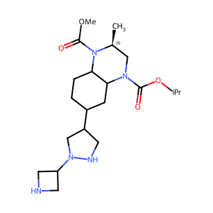 COC(=O)N1C2CCC(C3CNN(C4CNC4)C3)CC2N(C(=O)OC(C)C)C[C@@H]1C